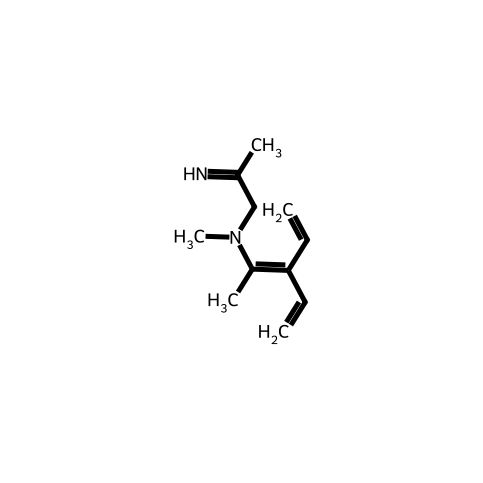 C=CC(C=C)=C(C)N(C)CC(C)=N